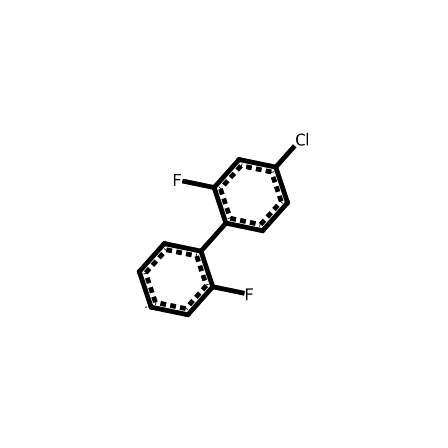 Fc1c[c]ccc1-c1ccc(Cl)cc1F